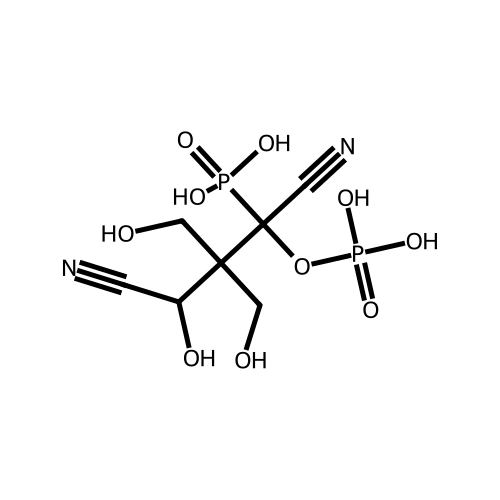 N#CC(O)C(CO)(CO)C(C#N)(OP(=O)(O)O)P(=O)(O)O